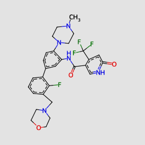 CN1CCN(c2ccc(-c3cccc(CN4CCOCC4)c3F)cc2NC(=O)c2c[nH]c(=O)cc2C(F)(F)F)CC1